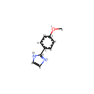 COc1ccc(C2=NC=C[N]2)cc1